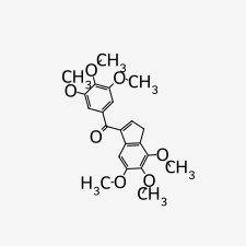 COc1cc(C(=O)C2=CCc3c2cc(OC)c(OC)c3OC)cc(OC)c1OC